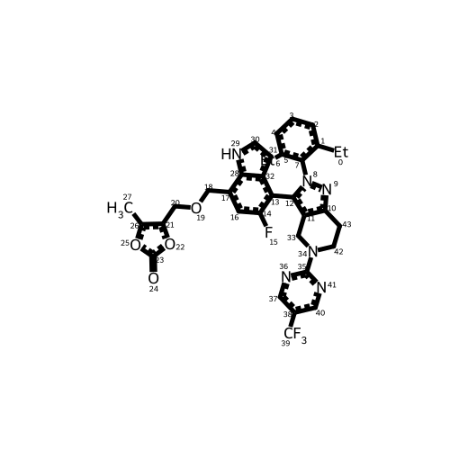 CCc1cccc(CC)c1-n1nc2c(c1-c1c(F)cc(COCc3oc(=O)oc3C)c3[nH]ccc13)CN(c1ncc(C(F)(F)F)cn1)CC2